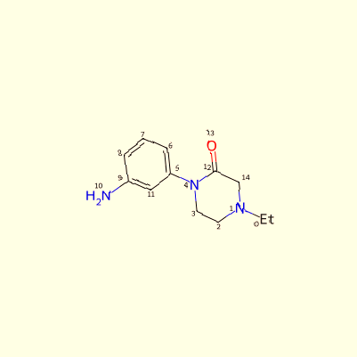 CCN1CCN(c2cccc(N)c2)C(=O)C1